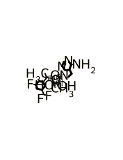 CC(c1cc(F)cc(C(F)F)c1)[C@H]1O[C@@H](n2ccc3c(N)ncnc32)[C@H](O)[C@]1(C)O